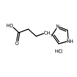 CCCC(=O)O.Cl.c1c[nH]cn1